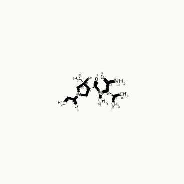 C=CC(=O)N1C[C@@H](C(=O)N(C)[C@H](C(N)=O)C(C)C)[C@](C)(I)C1